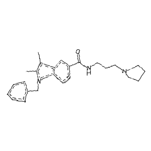 Cc1c(C)n(Cc2ccccc2)c2ccc(C(=O)NCCCN3CCCC3)cc12